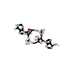 Nc1ncnc2c1ncn2C1OC2COP(=O)(O)O[C@H]3C(n4cnc5c(=O)[nH]cnc54)OC(COP(=O)(O)O[C@@H]1[C@@H]2O)[C@H]3O